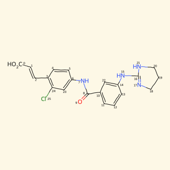 O=C(O)C=Cc1ccc(NC(=O)c2cccc(NC3=NCCCN3)c2)cc1Cl